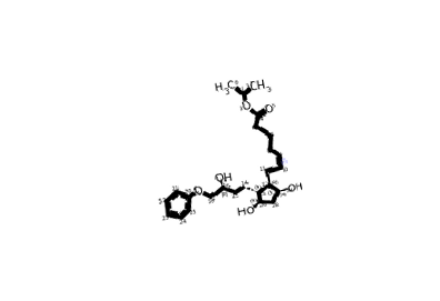 CC(C)OC(=O)CCC/C=C\C[C@@H]1[C@@H](CC[C@@H](O)COc2ccccc2)[C@H](O)C[C@@H]1O